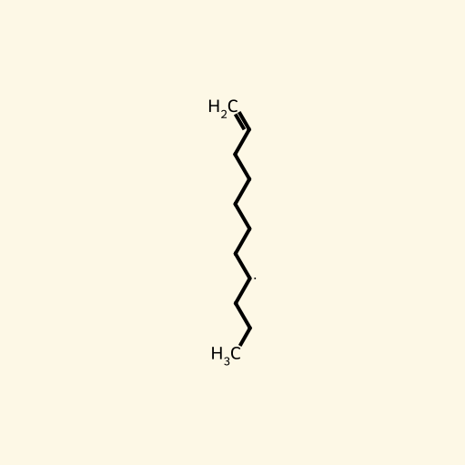 C=CCCCCC[CH]CCC